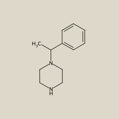 CC(c1cc[c]cc1)N1CCNCC1